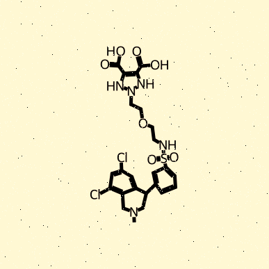 CN1Cc2c(Cl)cc(Cl)cc2C(c2cccc(S(=O)(=O)NCCOCCN3NC(C(=O)O)=C(C(=O)O)N3)c2)C1